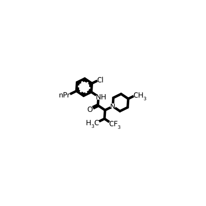 CCCc1ccc(Cl)c(NC(=O)C(C(C)C(F)(F)F)N2CCC(C)CC2)c1